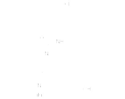 CC(C)N1CC2(CCN(C(=O)Nc3ccc(C(F)(F)F)cc3)CC2)C1c1ccc(O)cc1